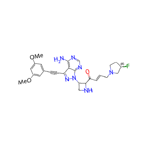 COc1cc(C#Cc2nn(C3CNC3C(=O)C=CCN3CC[C@@H](F)C3)c3ncnc(N)c23)cc(OC)c1